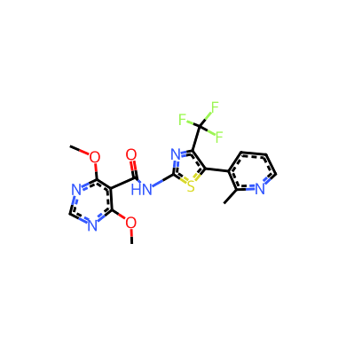 COc1ncnc(OC)c1C(=O)Nc1nc(C(F)(F)F)c(-c2cccnc2C)s1